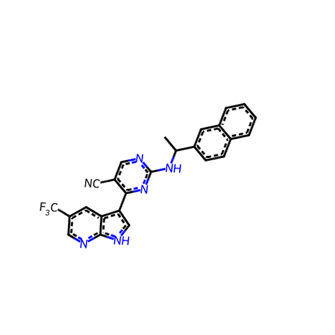 CC(Nc1ncc(C#N)c(-c2c[nH]c3ncc(C(F)(F)F)cc23)n1)c1ccc2ccccc2c1